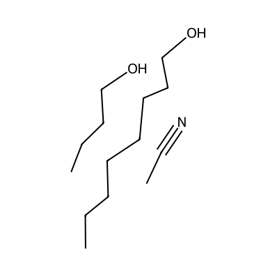 CC#N.CCCCCCCCO.CCCCO